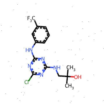 CC(C)(O)CNc1nc(Cl)nc(Nc2cccc(C(F)(F)F)c2)n1